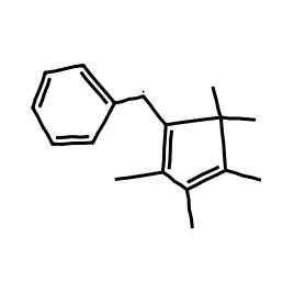 CC1=C(C)C(C)(C)C([CH]c2ccccc2)=C1C